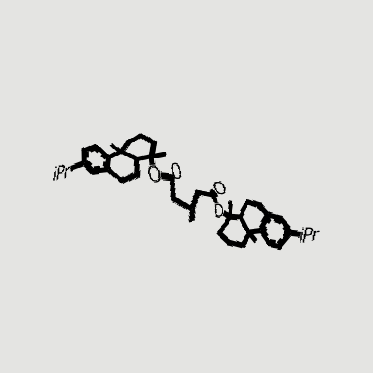 CC(CC(=O)OC1(C)CCCC2(C)c3ccc(C(C)C)cc3CCC12)CC(=O)OC1(C)CCCC2(C)c3ccc(C(C)C)cc3CCC12